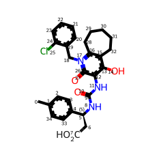 Cc1ccc([C@H](CC(=O)O)NC(=O)Nc2c(O)c3c(n(Cc4ccccc4Cl)c2=O)CCCCC3)cc1